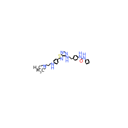 CCN(CC)CCCNc1ccc(-c2nc3c(NCCc4ccc(NC(=O)Nc5ccccc5)cc4)ncnc3s2)cc1